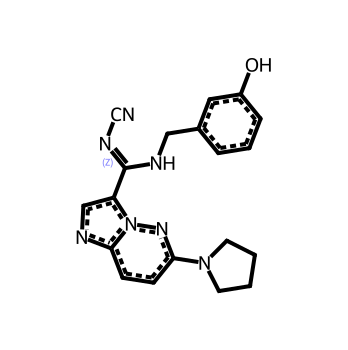 N#C/N=C(\NCc1cccc(O)c1)c1cnc2ccc(N3CCCC3)nn12